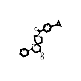 CCO[C@H]1C[C@@H](c2ccccc2)OC2(CCN(C(=O)c3ccc(C4CC4)cc3)CC2)C1